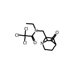 CCN(CC1C(=O)C2CCN1CC2)C(=O)C(Cl)(Cl)Cl